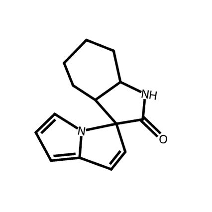 O=C1NC2CCCCC2C12C=Cc1cccn12